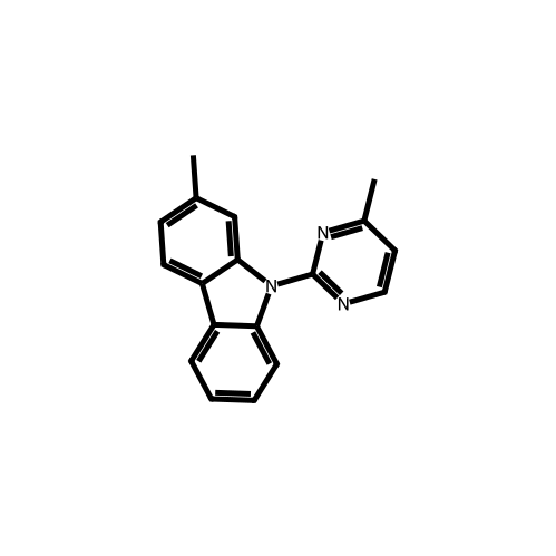 Cc1ccc2c3ccccc3n(-c3nccc(C)n3)c2c1